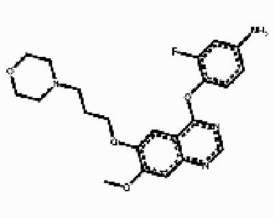 COc1cc2ncnc(Oc3ccc(N)cc3F)c2cc1OCCCN1CCOCC1